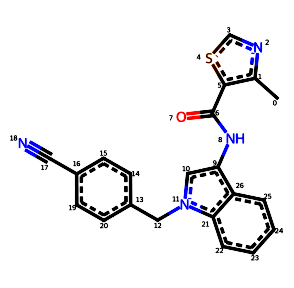 Cc1ncsc1C(=O)Nc1cn(Cc2ccc(C#N)cc2)c2ccccc12